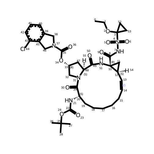 CCOC1(S(=O)(=O)NC(=O)[C@@]23C[C@H]2/C=C\CCCCC[C@H](NC(=O)OC(C)(C)C)C(=O)N2C[C@H](OC(=O)N4Cc5cccc(Cl)c5C4)C[C@H]2C(=O)N3)CC1